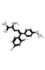 COc1ccc(C(=CCC(N)C(=O)O)c2ccc(F)cc2F)cc1